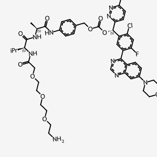 COc1ccc([C@@H](OC(=O)OCc2ccc(NC(=O)[C@H](C)NC(=O)[C@@H](NC(=O)COCCOCCOCCN)C(C)C)cc2)c2cc(-c3ncnc4cc(N5CCOCC5)ccc34)c(F)cc2Cl)nn1